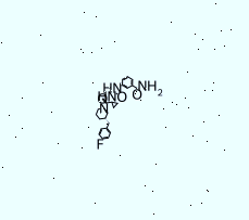 NC(=O)c1cccc(NC(=O)NC2(C(=O)N3CCC[C@@H](Cc4ccc(F)cc4)C3)CC2)c1